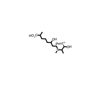 CCC[C@H](C)C(O)C(C)N(C)CCC(O)CCCC(C)C(=O)O